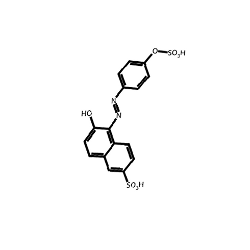 O=S(=O)(O)Oc1ccc(N=Nc2c(O)ccc3cc(S(=O)(=O)O)ccc23)cc1